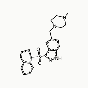 CN1CCN(Cc2ccc3[nH]nc(S(=O)(=O)c4cccc5ccccc45)c3c2)CC1